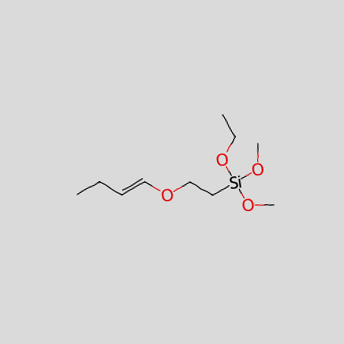 CCC=COCC[Si](OC)(OC)OCC